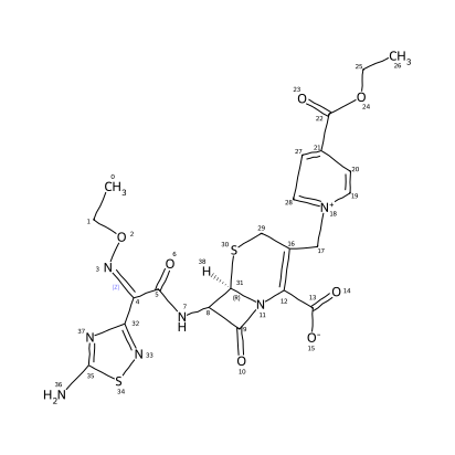 CCO/N=C(\C(=O)NC1C(=O)N2C(C(=O)[O-])=C(C[n+]3ccc(C(=O)OCC)cc3)CS[C@H]12)c1nsc(N)n1